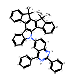 CC1(C)c2ccccc2-c2c1c1c(c3c2c2ccccc2n3-c2ccc3nc(-c4ccccc4)nc(-c4ccccc4)c3c2)-c2ccccc2C1(C)C